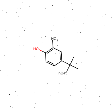 CCCCCCCCC(C)(C)c1ccc(O)c([N+](=O)[O-])c1